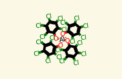 Clc1c(Cl)c(Cl)c([O][Al-]([O]c2c(Cl)c(Cl)c(Cl)c(Cl)c2Cl)([O]c2c(Cl)c(Cl)c(Cl)c(Cl)c2Cl)[O]c2c(Cl)c(Cl)c(Cl)c(Cl)c2Cl)c(Cl)c1Cl